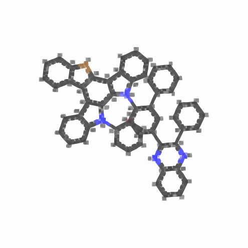 c1ccc(-c2cc(-c3nc4ccccc4nc3-c3ccccc3)ccc2-n2c3ccccc3c3c4sc5ccccc5c4c4c5ccccc5n(-c5ccccc5)c4c32)cc1